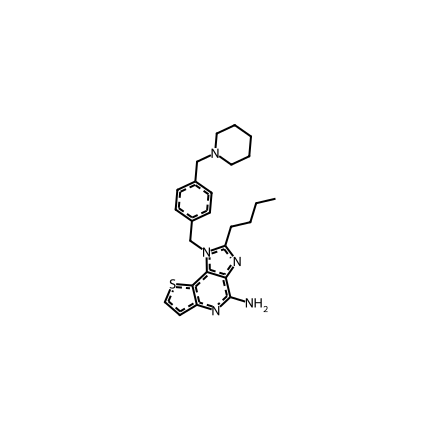 CCCCc1nc2c(N)nc3ccsc3c2n1Cc1ccc(CN2CCCCC2)cc1